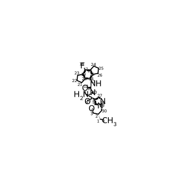 CC[C@@H]1COc2c(S(N)(=O)=NC(=O)Nc3c4c(c(F)c5c3CCC5)CCC4)cnn2C1